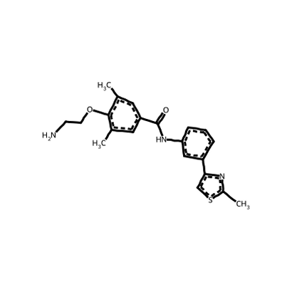 Cc1nc(-c2cccc(NC(=O)c3cc(C)c(OCCN)c(C)c3)c2)cs1